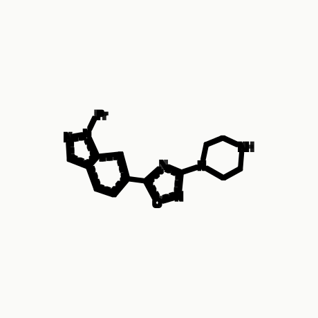 CC(C)n1ncc2ccc(-c3nc(N4CCNCC4)no3)cc21